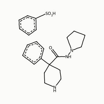 O=C(NN1CCCC1)C1(c2ccccc2)CCNCC1.O=S(=O)(O)c1ccccc1